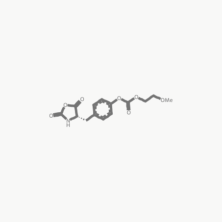 COCCOC(=O)Oc1ccc(C[C@@H]2NC(=O)OC2=O)cc1